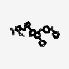 Cn1c(Cn2ncnc2-c2cnc3cc(N4CCOCC4)nc(OC4CCC(Nc5ncccn5)CC4)c3c2)cnc1[N+](=O)[O-]